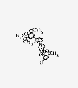 COc1ccc(Cl)cc1S(=O)(=O)N1CCN(c2nc(-c3cc(OC)c(OC)c(OC)c3)cs2)CC1